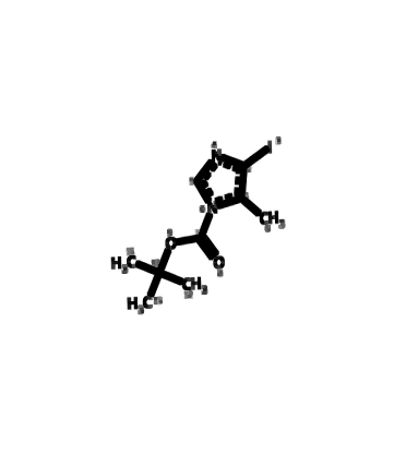 Cc1c(I)ncn1C(=O)OC(C)(C)C